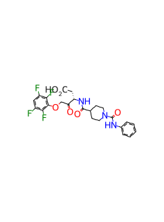 O=C(O)C[C@H](NC(=O)C1CCN(C(=O)Nc2ccccc2)CC1)C(=O)COc1c(F)c(F)cc(F)c1F